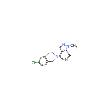 Cn1ncc2c(N3CCc4cc(Cl)ccc4C3)cncc21